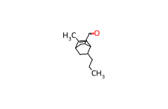 CCCC1CC2CC(C=O)C1C=C2C